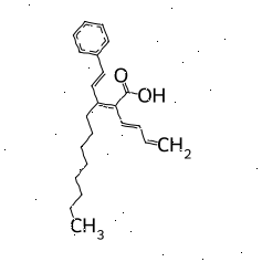 C=CC=CC(C(=O)O)=C(C=Cc1ccccc1)CCCCCCCC